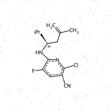 C=C(C)C[C@@H](Nc1nc(Cl)c(C#N)cc1F)C(C)C